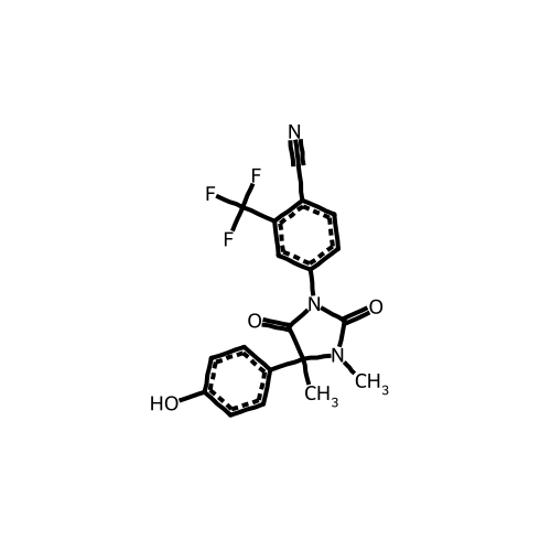 CN1C(=O)N(c2ccc(C#N)c(C(F)(F)F)c2)C(=O)C1(C)c1ccc(O)cc1